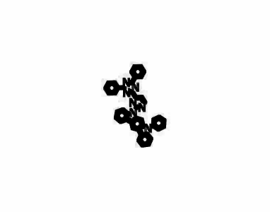 c1ccc(-c2nc(-c3ccccc3)nc(-c3ccnc(-n4c5ccccc5c5cc6c7ccccc7n(-c7ccccc7)c6cc54)n3)n2)cc1